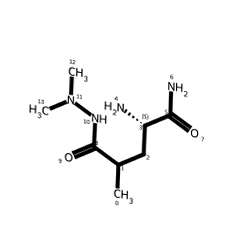 CC(C[C@H](N)C(N)=O)C(=O)NN(C)C